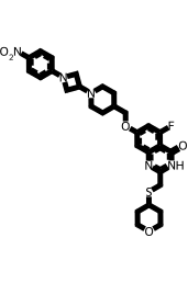 O=c1[nH]c(CSC2CCOCC2)nc2cc(OCC3CCN(C4CN(c5ccc([N+](=O)[O-])cc5)C4)CC3)cc(F)c12